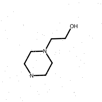 OCCN1CC[N]CC1